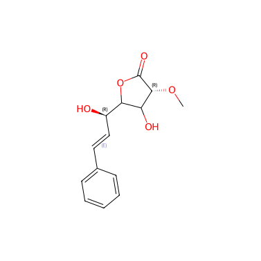 CO[C@H]1C(=O)OC([C@H](O)/C=C/c2ccccc2)C1O